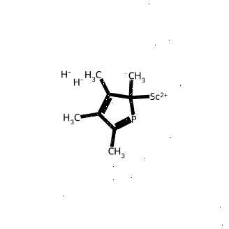 CC1=P[C](C)([Sc+2])C(C)=C1C.[H-].[H-]